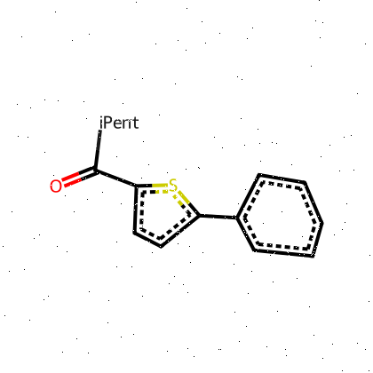 CCCC(C)C(=O)c1ccc(-c2ccccc2)s1